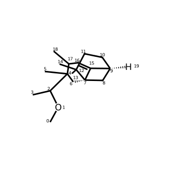 COC(C)C1(C)C[C@]23C[C@H](CCC2(C)C)C3=CC1C